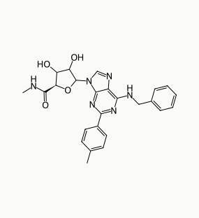 CNC(=O)[C@@H]1OC(n2cnc3c(NCc4ccccc4)nc(-c4ccc(C)cc4)nc32)C(O)C1O